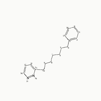 c1ccc(CCCCCCCc2cccnn2)cc1